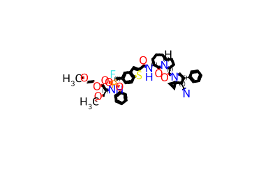 COCCOC(=O)[C@H](COC)NP(=O)(Oc1ccccc1)[C@H](F)c1ccc2sc(C(=O)N[C@H]3CCC[C@H]4CC[C@@H](C(=O)N5C[C@H](c6ccccc6)[C@@H](C#N)C56CC6)N4C3=O)cc2c1